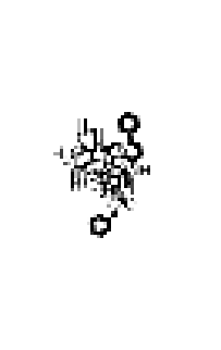 CC(C)C(NC(=O)Cn1c(-c2ccccc2)ccc(NC(=O)CNC(=O)OCc2ccccc2)c1=O)C(O[Si](C)(C)C(C)(C)C)C(F)(F)F